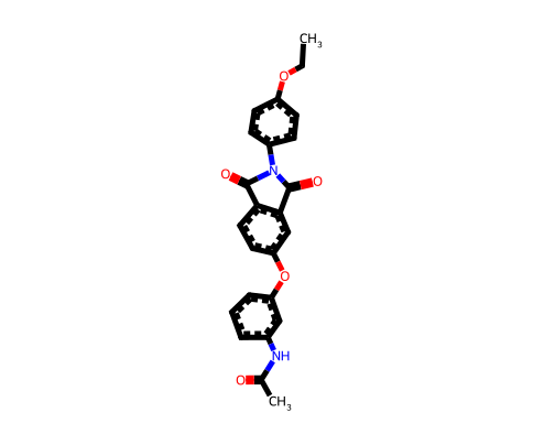 CCOc1ccc(N2C(=O)c3ccc(Oc4cccc(NC(C)=O)c4)cc3C2=O)cc1